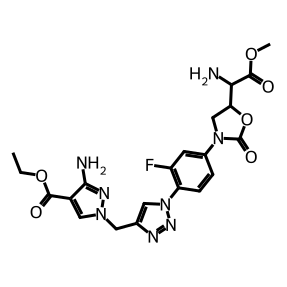 CCOC(=O)c1cn(Cc2cn(-c3ccc(N4CC(C(N)C(=O)OC)OC4=O)cc3F)nn2)nc1N